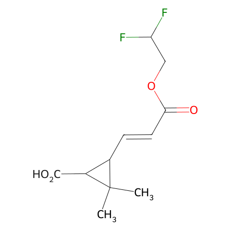 CC1(C)C(C=CC(=O)OCC(F)F)C1C(=O)O